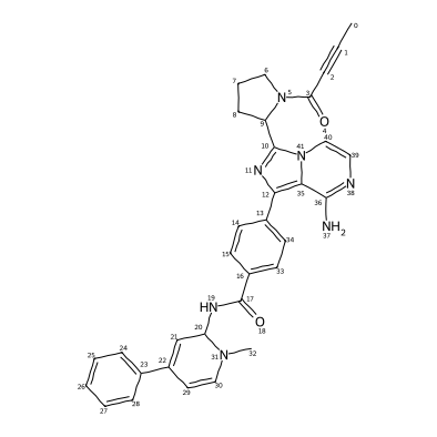 CC#CC(=O)N1CCCC1c1nc(-c2ccc(C(=O)NC3C=C(c4ccccc4)C=CN3C)cc2)c2c(N)nccn12